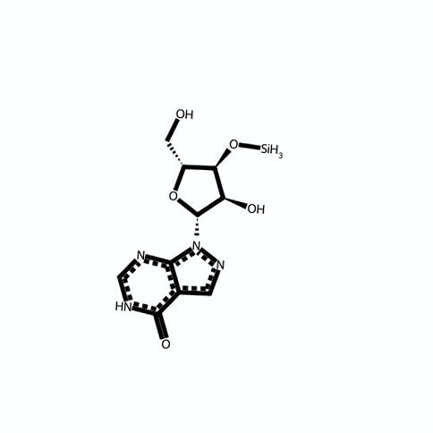 O=c1[nH]cnc2c1cnn2[C@@H]1O[C@H](CO)[C@@H](O[SiH3])[C@H]1O